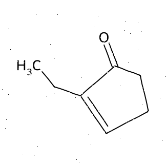 CCC1=CCCC1=O